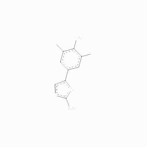 CNc1nc(-c2cc(Cl)c(OC)c(Cl)c2)cs1